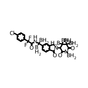 BN1C(=O)C(N2Cc3cc(C(B)(B)NC(=O)C(F)(F)c4ccc(Cl)cc4)ccc3C2=O)C(B)(B)C(B)(B)C1=O